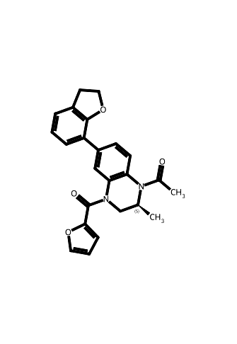 CC(=O)N1c2ccc(-c3cccc4c3OCC4)cc2N(C(=O)c2ccco2)C[C@@H]1C